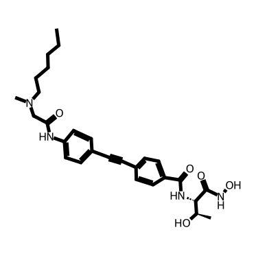 CCCCCCN(C)CC(=O)Nc1ccc(C#Cc2ccc(C(=O)N[C@H](C(=O)NO)[C@@H](C)O)cc2)cc1